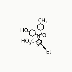 CCC#Cc1cc(N(C(=O)C2CCC(C)CC2)C2CCC(O)CC2)c(C(=O)O)s1